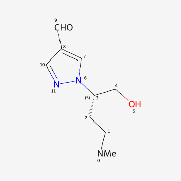 CNCC[C@@H](CO)n1cc(C=O)cn1